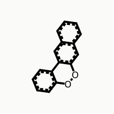 c1ccc2c(c1)OOc1cc3ccccc3cc1-2